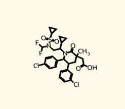 CC1(CC(=O)O)CC(c2cccc(Cl)c2)C(c2ccc(Cl)cc2)N(C(CN(C(F)F)S(=O)(=O)C2CC2)C2CC2)C1=O